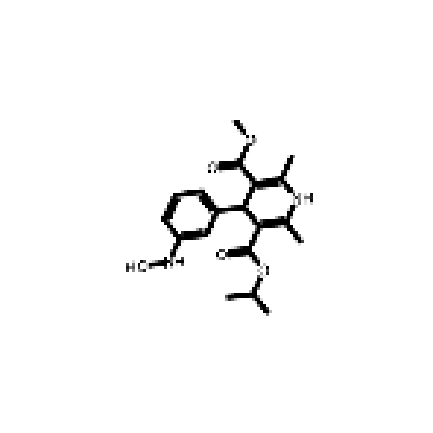 COC(=O)C1=C(C)NC(C)=C(C(=O)OC(C)C)C1c1cccc(NO)c1